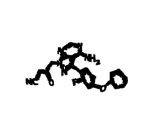 N#CCC(=O)Cn1nc(-c2ccc(Oc3ccccc3)cc2F)c2c(N)ncnc21